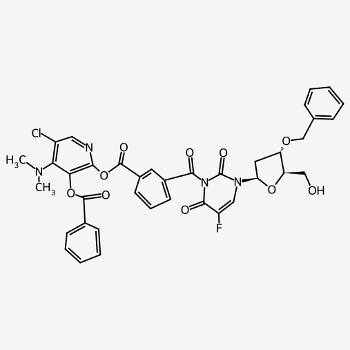 CN(C)c1c(Cl)cnc(OC(=O)c2cccc(C(=O)n3c(=O)c(F)cn([C@H]4C[C@H](OCc5ccccc5)[C@@H](CO)O4)c3=O)c2)c1OC(=O)c1ccccc1